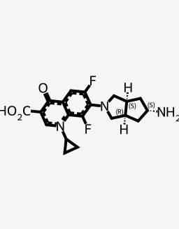 N[C@H]1C[C@@H]2CN(c3c(F)cc4c(=O)c(C(=O)O)cn(C5CC5)c4c3F)C[C@@H]2C1